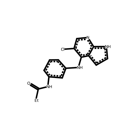 CCC(=O)Nc1cccc(Nc2c(Cl)cnc3[nH]ccc23)c1